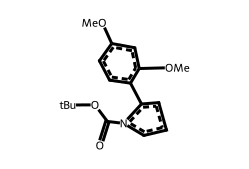 COc1ccc(-c2cccn2C(=O)OC(C)(C)C)c(OC)c1